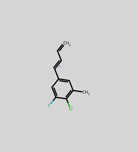 C=C/C=C/c1cc(C)c(Cl)c(F)c1